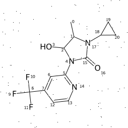 CC1C(O)N(c2cc(C(F)(F)F)ccn2)C(=O)N1C1CC1